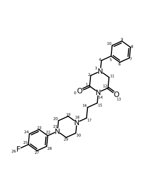 O=C1CN(Cc2ccccc2)CC(=O)N1CCCN1CCN(c2ccc(F)cc2)CC1